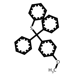 COc1ccc(C(Sc2ccccc2)(c2ccccc2)c2ccccc2)cc1